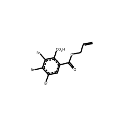 C=CCOC(=O)c1cc(Br)c(Br)c(Br)c1C(=O)O